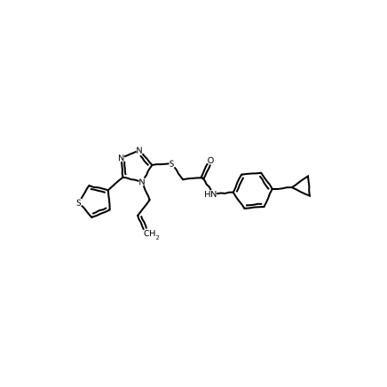 C=CCn1c(SCC(=O)Nc2ccc(C3CC3)cc2)nnc1-c1ccsc1